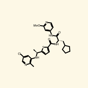 COc1cc(NC(=O)[C@H](CC2CCCC2)NC(=O)c2ccc([C@H](C)Nc3cc(Cl)cnc3C)s2)ccn1